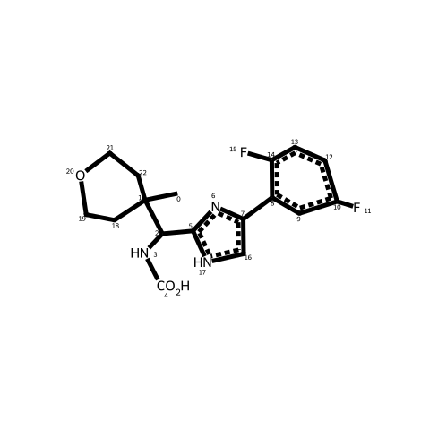 CC1(C(NC(=O)O)c2nc(-c3cc(F)ccc3F)c[nH]2)CCOCC1